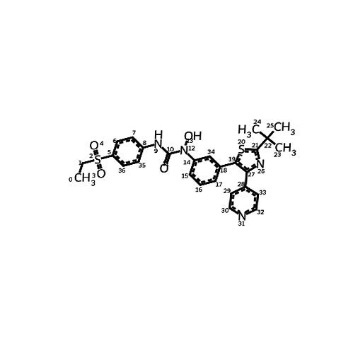 CCS(=O)(=O)c1ccc(NC(=O)N(O)c2cccc(-c3sc(C(C)(C)C)nc3-c3ccncc3)c2)cc1